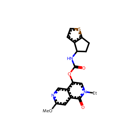 CCn1cc(OC(=O)NC2CCc3sccc32)c2cnc(OC)cc2c1=O